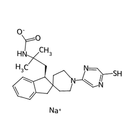 CC(C)(C[C@@H]1c2ccccc2CC12CCN(c1cnc(S)cn1)CC2)NC(=O)[O-].[Na+]